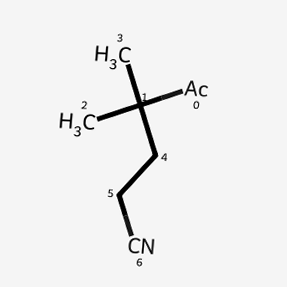 CC(=O)C(C)(C)CCC#N